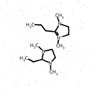 CCC1N(C)CCN1C.CCCC1=[N+](C)CCN1C